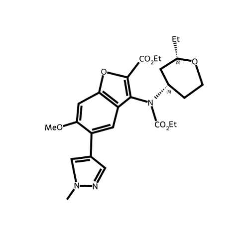 CCOC(=O)c1oc2cc(OC)c(-c3cnn(C)c3)cc2c1N(C(=O)OCC)[C@H]1CCO[C@@H](CC)C1